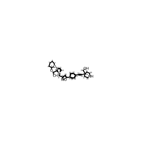 CC(OC1CCCCO1)c1nccn1Cc1cc(-c2ccc(C#CC3(CO)CCNCC3)cc2)on1